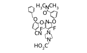 CN(C)C(=O)c1cccc(Oc2nc(Oc3cc(C#N)ccc3OCc3ccccc3)c(F)c(N3CCN(CC(=O)O)CC3)c2F)c1